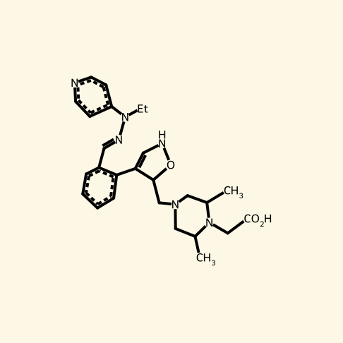 CCN(N=Cc1ccccc1C1=CNOC1CN1CC(C)N(CC(=O)O)C(C)C1)c1ccncc1